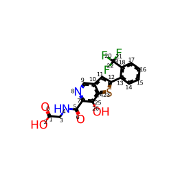 O=C(O)CNC(=O)c1ncc2cc(-c3ccccc3C(F)(F)F)sc2c1O